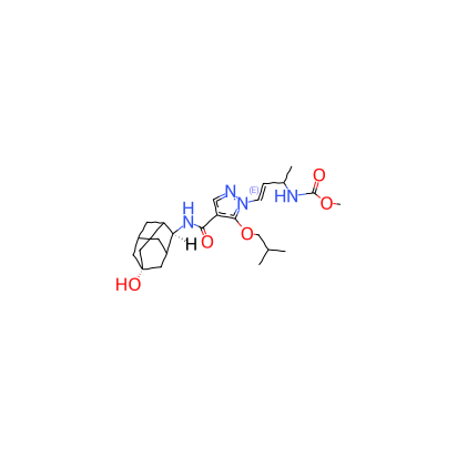 COC(=O)NC(C)/C=C/n1ncc(C(=O)N[C@H]2C3CC4CC2C[C@](O)(C4)C3)c1OCC(C)C